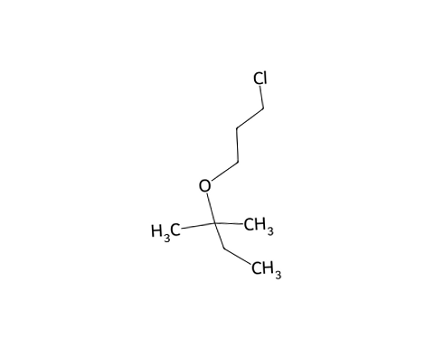 CCC(C)(C)OCCCCl